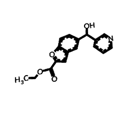 CCOC(=O)c1cc2cc(C(O)c3cccnc3)ccc2o1